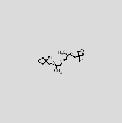 CCC1(COC(C)COCC(C)OCC2(CC)COC2)COC1